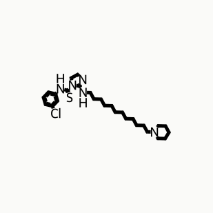 S=C(Nc1cccc(Cl)c1)N1CCN=C1NCCCCCCCCCCCCN1CCCCC1